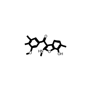 CNc1oc2c(O)c(C)ccc2c1C(=O)c1cc(C)c(C)c(OC)c1